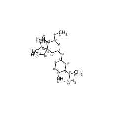 CCC1CC(CC2CCC(N)C(C(C)C)C2)CC(CC)(C(C)C)C1N